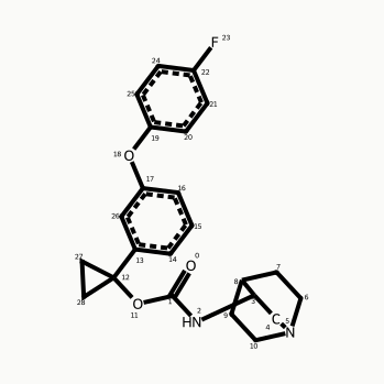 O=C(NC1CN2CCC1CC2)OC1(c2cccc(Oc3ccc(F)cc3)c2)CC1